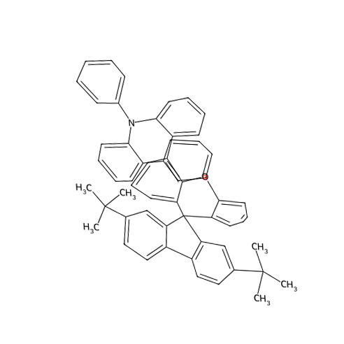 CC(C)(C)c1ccc2c(c1)C1(c3ccccc3Oc3c(-c4ccccc4N(c4ccccc4)c4ccccc4-c4ccccc4)cccc31)c1cc(C(C)(C)C)ccc1-2